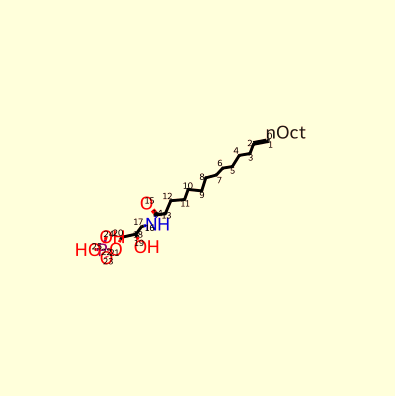 CCCCCCCCC=CCCCCCCCCCCCC(=O)NCC(O)COP(=O)(O)O